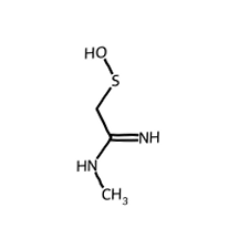 CNC(=N)CSO